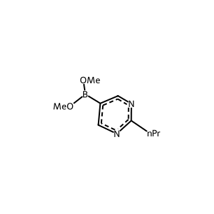 CCCc1ncc(B(OC)OC)cn1